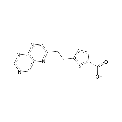 O=C(O)c1ccc(CCc2cnc3ncncc3n2)s1